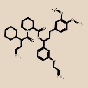 C=CCOc1cccc(C(CCc2ccc(OC)c(OC)c2)OC(=O)C2CCCCN2C(=O)C(CC=C)C2CCCCC2)c1